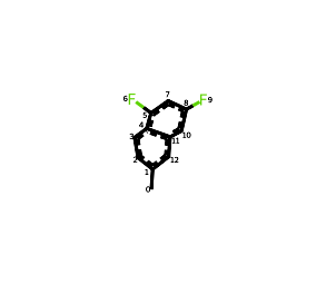 Cc1ccc2c(F)cc(F)cc2c1